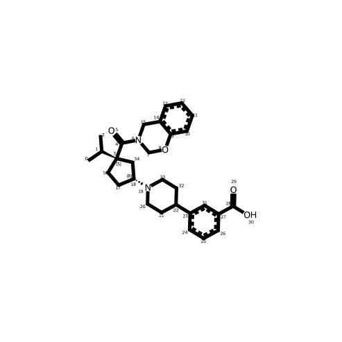 CC(C)[C@]1(C(=O)N2COc3ccccc3C2)CC[C@@H](N2CCC(c3cccc(C(=O)O)c3)CC2)C1